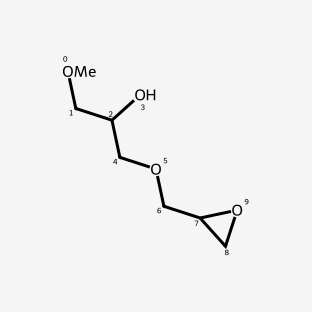 COCC(O)COCC1CO1